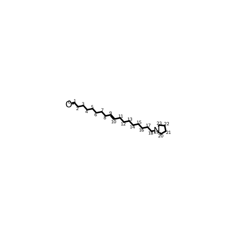 O=CCCCCCCCC=CCCCCCCCCN1CCCC1